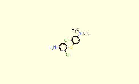 CN(C)c1ccc(Sc2ccc(N)cc2Cl)c(Cl)c1